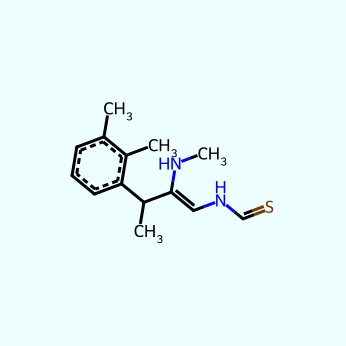 CN/C(=C\NC=S)C(C)c1cccc(C)c1C